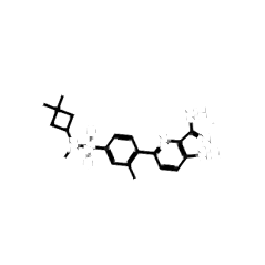 Cc1cc(S(=O)(=O)N(C)C2CC(C)(C)C2)ccc1-c1ccc2[nH]nc(N)c2n1